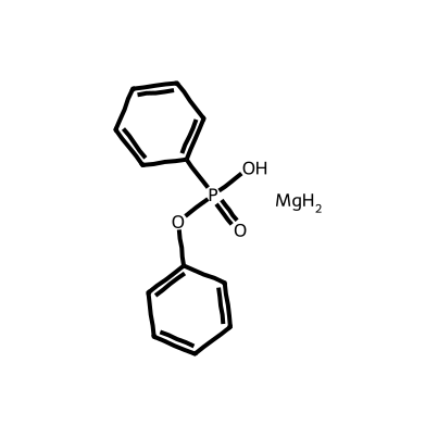 O=P(O)(Oc1ccccc1)c1ccccc1.[MgH2]